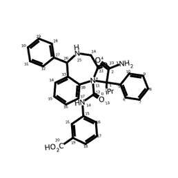 CC(C)C(C(N)=O)(c1ccccc1)[N+]1(C(=O)Nc2cccc(C(=O)O)c2)C(=O)CNC(c2ccccc2)c2ccccc21